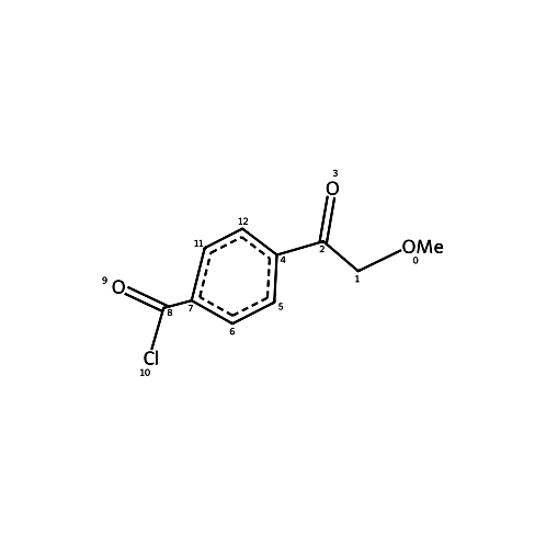 COCC(=O)c1ccc(C(=O)Cl)cc1